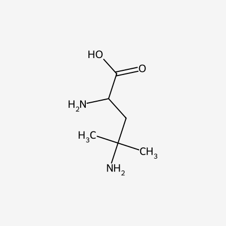 CC(C)(N)CC(N)C(=O)O